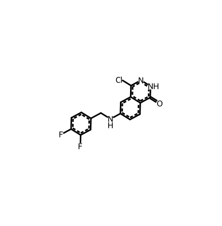 O=c1[nH]nc(Cl)c2cc(NCc3ccc(F)c(F)c3)ccc12